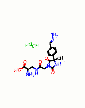 CC1(c2ccc(C=NN)cc2)NC(=O)N(CC(=O)NCC(N)C(=O)O)C1=O.Cl.Cl